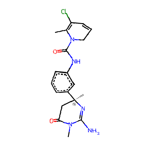 CC1=C(Cl)C=CCN1C(=O)Nc1cccc([C@]2(C)CC(=O)N(C)C(N)=N2)c1